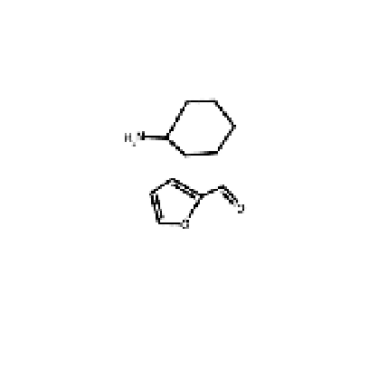 NC1CCCCC1.O=Cc1ccco1